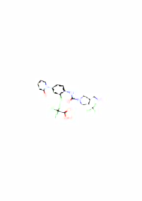 NC[C@@H]1CN(C(=O)Nc2ccc(-n3ccccc3=O)cc2F)C[C@H]1C(F)(F)F.O=C(O)C(F)(F)F